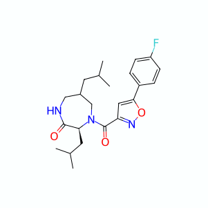 CC(C)CC1CNC(=O)[C@H](CC(C)C)N(C(=O)c2cc(-c3ccc(F)cc3)on2)C1